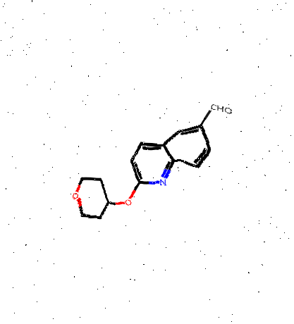 O=Cc1ccc2nc(OC3CCOCC3)ccc2c1